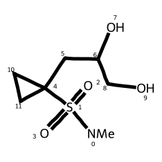 CNS(=O)(=O)C1(CC(O)CO)CC1